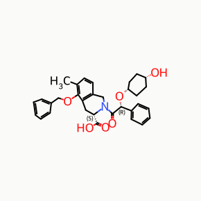 Cc1ccc2c(c1OCc1ccccc1)C[C@@H](C(=O)O)N(C(=O)[C@H](O[C@H]1CC[C@@H](O)CC1)c1ccccc1)C2